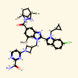 COc1cc(C(=O)N2C[C@H]3CC[C@@H]2[C@@H]3N)cc2nc(-c3cc4ccc(Cl)cc4n3CC3CC3)n(CC3CN(c4ccnc(C(N)=O)n4)C3)c12